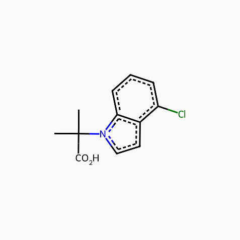 CC(C)(C(=O)O)n1ccc2c(Cl)cccc21